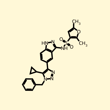 Cc1cc(S(=O)(=O)Nc2n[nH]c3ccc(-c4nnn(Cc5ccccc5)c4C4CC4)cc23)c(C)o1